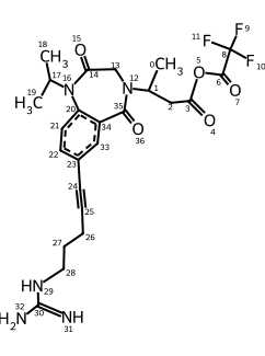 CC(CC(=O)OC(=O)C(F)(F)F)N1CC(=O)N(C(C)C)c2ccc(C#CCCCNC(=N)N)cc2C1=O